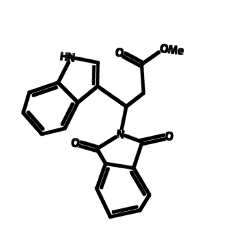 COC(=O)CC(c1c[nH]c2ccccc12)N1C(=O)c2ccccc2C1=O